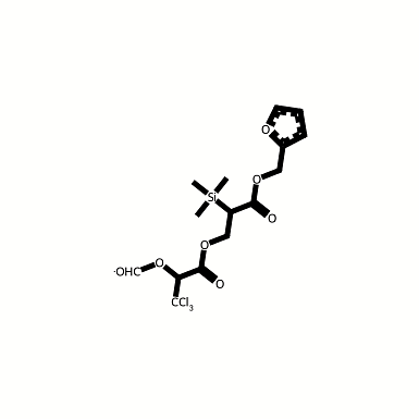 C[Si](C)(C)C(COC(=O)C(O[C]=O)C(Cl)(Cl)Cl)C(=O)OCc1ccco1